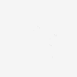 Cc1ccccc1NC(=O)Nc1ccccc1CNC(=O)c1ccccc1